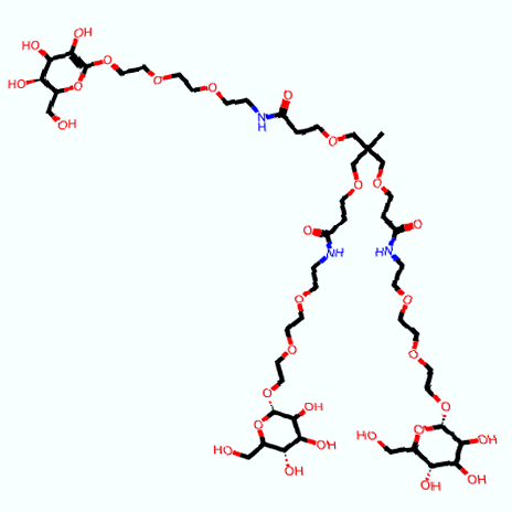 CC(COCCC(=O)NCCOCCOCCOC1=C(O)C(O)[C@H](O)C(CO)O1)(COCCC(=O)NCCOCCOCCO[C@H]1OC(CO)[C@@H](O)C(O)C1O)COCCC(=O)NCCOCCOCCO[C@H]1OC(CO)[C@@H](O)C(O)C1O